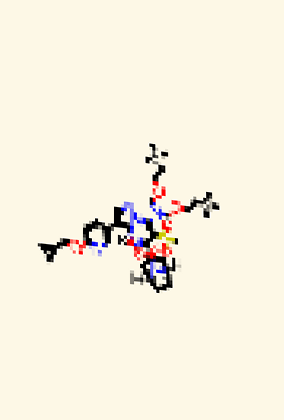 CC(C)(C)OC(=O)N1[C@@H]2CC[C@H]1C[C@H](c1nc3c(-c4ccc(OCC5CC5)nc4)cnn3c(N(COCC[Si](C)(C)C)COCC[Si](C)(C)C)c1S(C)(=O)=O)C2